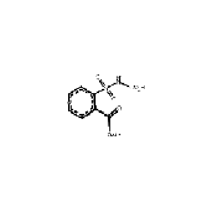 COC(=O)c1ccccc1S(=O)(=O)NC(=O)O